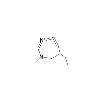 CCC1C=C=[N+]=CN(C)C1